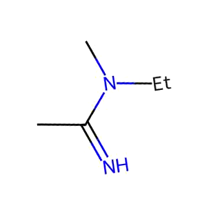 CCN(C)C(C)=N